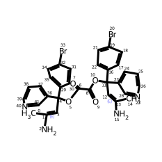 C/C(N)=C\C(OC(=O)C(=O)OC(/C=C(\C)N)(c1ccc(Br)cc1)c1cccnc1)(c1ccc(Br)cc1)c1cccnc1